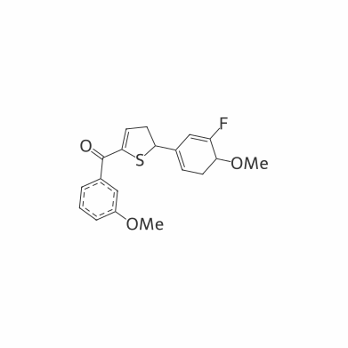 COc1cccc(C(=O)C2=CCC(C3=CCC(OC)C(F)=C3)S2)c1